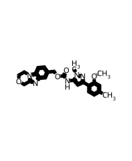 COc1cc(C)ccc1-c1cc(NC(=O)OCc2ccc3c(c2)nc2n3CCOC2)n(C)n1